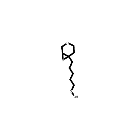 OSCCCCCC12CCOCC1O2